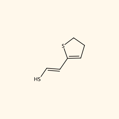 SC=CC1=CCCS1